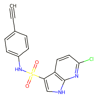 C#Cc1ccc(NS(=O)(=O)c2c[nH]c3nc(Cl)ccc23)cc1